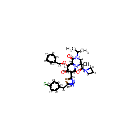 CC(C)N1C[C@](C)(C(=O)N2CCC2)n2cc(-c3nnc(Cc4ccc(F)cc4)s3)c(=O)c(OCc3ccccc3)c2C1=O